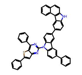 c1ccc(-c2ccc3c(c2)c2cc(-c4ccc5[nH]c6ccc7ccccc7c6c5c4)ccc2n3-c2nc(-c3ccccc3)c3sc(-c4ccccc4)cc3n2)cc1